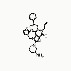 C=CCn1c(=O)c2nc(N3CCCC(N)C3)n(Cc3ccsc3)c2c(=O)n1CC(=O)c1ccccc1